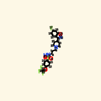 O=S(=O)(NCCCN1CCC(c2noc3cc(F)ccc23)CC1)c1ccc(OC(F)(F)F)cc1